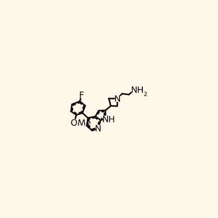 COc1ccc(F)cc1-c1ccnc2[nH]c(C3CN(CCN)C3)cc12